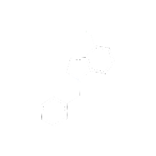 Clc1cccc2c1ccn2Cc1ccccc1